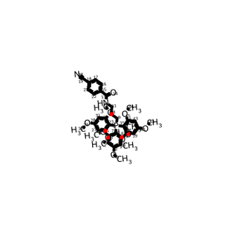 COc1cc(OC)c([PH](CCCNC(=O)c2ccc(C#N)cc2)(c2c(OC)cc(OC)cc2OC)c2c(OC)cc(OC)cc2OC)c(OC)c1